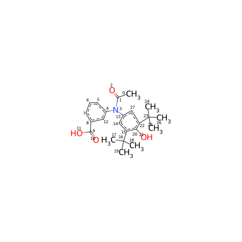 CC(=O)N(c1cccc(C(=O)O)c1)c1cc(C(C)(C)C)c(O)c(C(C)(C)C)c1